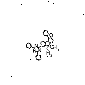 CC1(C)c2cc(-c3nc(-c4ccccc4)nc(-c4ccccc4)n3)ccc2-c2c1ccc1oc3ccccc3c21